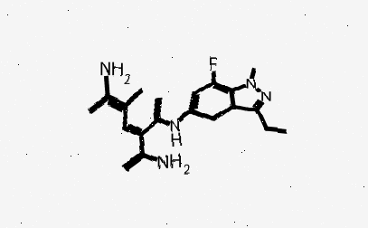 C=C(N)/C(=C/C(C)=C(\C)N)C(=C)NC1=CC(F)=C2C(C1)C(CC)=NN2C